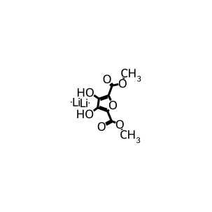 COC(=O)c1oc(C(=O)OC)c(O)c1O.[Li].[Li]